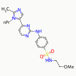 CCCn1c(-c2ccnc(Nc3ccc(S(=O)(=O)NCCOC)cc3)n2)cnc1C